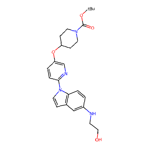 CC(C)(C)OC(=O)N1CCC(Oc2ccc(-n3ccc4cc(NCCO)ccc43)nc2)CC1